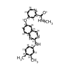 CNC(=O)c1cc(Oc2ccc3nc(Nc4ccc(C)c(C)c4)ncc3c2)ccn1